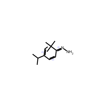 C\C=C(/C=C\C(=N/N)C(C)(C)C)C(C)C